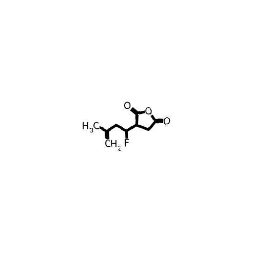 C=C(C)CC(F)C1CC(=O)OC1=O